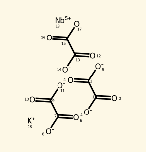 O=C([O-])C(=O)[O-].O=C([O-])C(=O)[O-].O=C([O-])C(=O)[O-].[K+].[Nb+5]